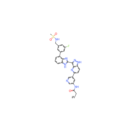 CC(C)CC(=O)Nc1cncc(-c2ccc3[nH]nc(-c4nc5c(-c6cc(F)cc(CNS(C)(=O)=O)c6)cccc5[nH]4)c3n2)c1